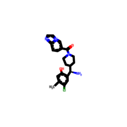 Cc1cc(O)c([C@H](N)C2CCN(C(=O)c3ccc4nccn4c3)CC2)cc1Cl